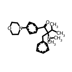 CC(C)C(Cc1ccccc1)(C(=O)c1ccc(N2CCOCC2)cc1)N(C)C